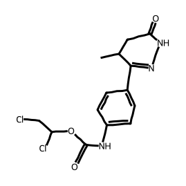 CC1CC(=O)NN=C1c1ccc(NC(=O)OC(Cl)CCl)cc1